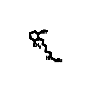 CCCCPCCCCCB1C(C)CCCC1CCC